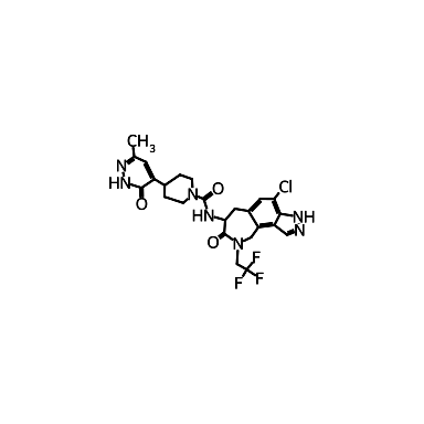 Cc1cc(C2CCN(C(=O)NC3Cc4cc(Cl)c5[nH]ncc5c4CN(CC(F)(F)F)C3=O)CC2)c(=O)[nH]n1